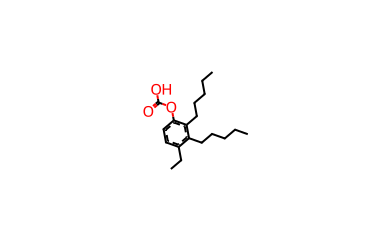 CCCCCc1c(CC)ccc(OC(=O)O)c1CCCCC